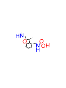 CNCc1oc2cccc(CNC(=O)O)c2c1C